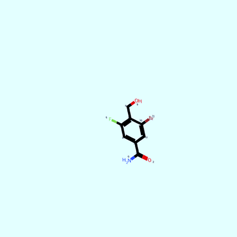 NC(=O)c1cc(F)c(CO)c(Br)c1